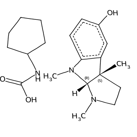 CN1CC[C@@]2(C)c3cc(O)ccc3N(C)[C@@H]12.O=C(O)NC1CCCCC1